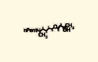 CCCCCC(C)CCCCOC=CC(C)O